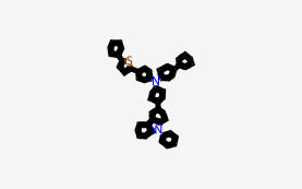 c1ccc(-c2ccc(N(c3ccc(-c4ccc5c(c4)c4ccccc4n5-c4ccccc4)cc3)c3ccc(-c4ccc(-c5ccccc5)s4)cc3)cc2)cc1